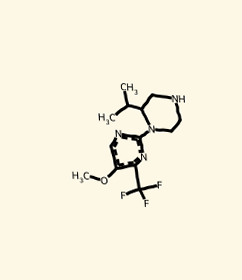 COc1cnc(N2CCNCC2C(C)C)nc1C(F)(F)F